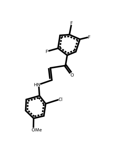 COc1ccc(NC=CC(=O)c2cc(F)c(F)cc2F)c(Cl)c1